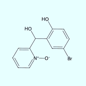 [O-][n+]1ccccc1C(O)c1cc(Br)ccc1O